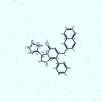 O=c1cc(Cc2ccc3ccccc3c2)c(-c2ccccc2)c2n1[C@H](c1nnn[nH]1)CS2